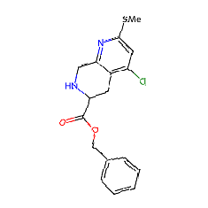 CSc1cc(Cl)c2c(n1)CNC(C(=O)OCc1ccccc1)C2